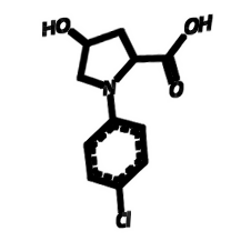 O=C(O)C1CC(O)CN1c1ccc(Cl)cc1